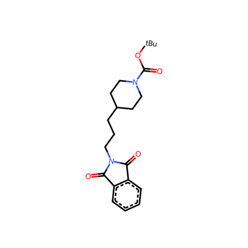 CC(C)(C)OC(=O)N1CCC(CCCN2C(=O)c3ccccc3C2=O)CC1